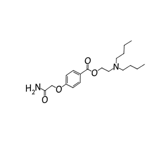 CCCCN(CCCC)CCOC(=O)c1ccc(OCC(N)=O)cc1